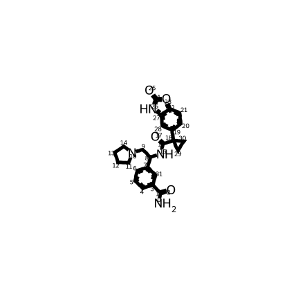 NC(=O)c1cccc(C(CN2CCCC2)NC(=O)C2(c3ccc4oc(=O)[nH]c4c3)CC2)c1